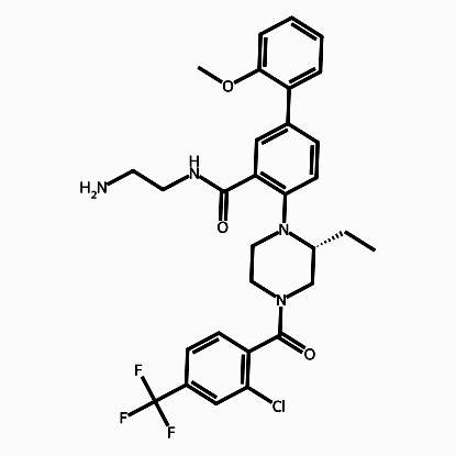 CC[C@@H]1CN(C(=O)c2ccc(C(F)(F)F)cc2Cl)CCN1c1ccc(-c2ccccc2OC)cc1C(=O)NCCN